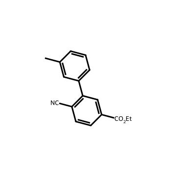 CCOC(=O)c1ccc(C#N)c(-c2cccc(C)c2)c1